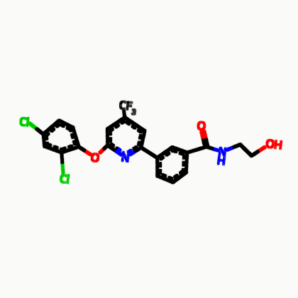 O=C(NCCO)c1cccc(-c2cc(C(F)(F)F)cc(Oc3ccc(Cl)cc3Cl)n2)c1